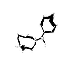 SN(c1ccccc1)N1CCOCC1